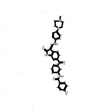 CN1CCN(c2ccc(N/C=C3/C(=O)Nc4cc(C(=O)c5cccc(NC(=O)c6ccc(Cl)cc6)c5)ccc43)cc2)CC1